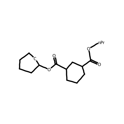 CCCOC(=O)C1CCCC(C(=O)OC2CCCCC2)C1